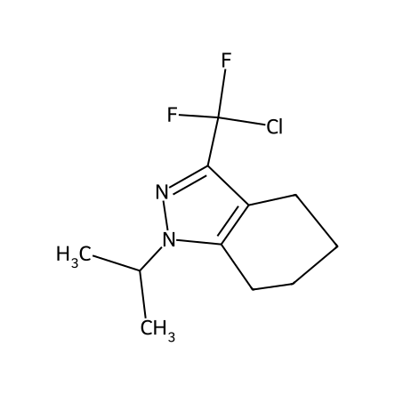 CC(C)n1nc(C(F)(F)Cl)c2c1CCCC2